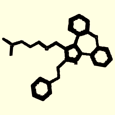 CN(C)CCCOCc1c2c(nn1CCc1ccccc1)-c1ccccc1Oc1ccccc1-2